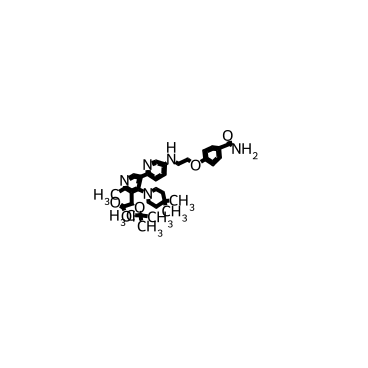 Cc1ncc(-c2ccc(NCCOc3ccc(C(N)=O)cc3)cn2)c(N2CCC(C)(C)CC2)c1[C@H](OC(C)(C)C)C(=O)O